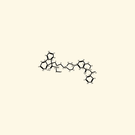 CCNC(=O)C1(CCCCN2CCN(c3ccc4c(c3)C(=O)N(C(C)c3ccccc3)CC4)CC2)c2ccccc2-c2ccccc21